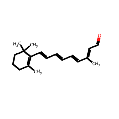 CC(C=CC=CC=CC1=C(C)CCCC1(C)C)=CC=O